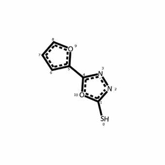 Sc1nnc(-c2ccco2)o1